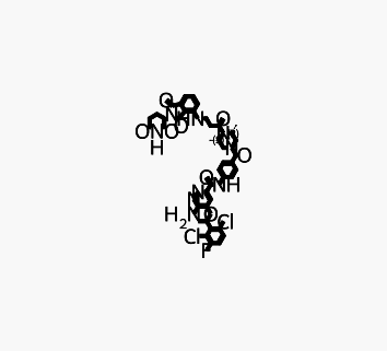 CC(Oc1cc(C(=O)Nc2ccc(C(=O)N3C[C@@H](C)N(C(=O)CCNc4cccc5c4C(=O)N(C4CCC(=O)NC4=O)C5=O)[C@@H](C)C3)cc2)nnc1N)c1c(Cl)ccc(F)c1Cl